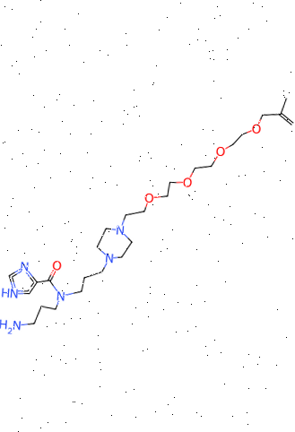 C=C(C)COCCOCCOCCOCCN1CCN(CCCN(CCCN)C(=O)c2c[nH]cn2)CC1